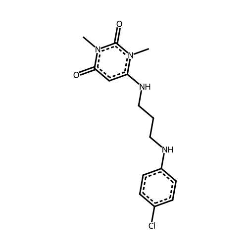 Cn1c(NCCCNc2ccc(Cl)cc2)cc(=O)n(C)c1=O